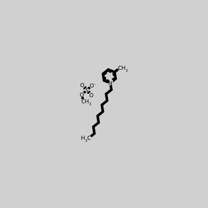 CCCCCCCCCC[n+]1cccc(C)c1.COS(=O)(=O)[O-]